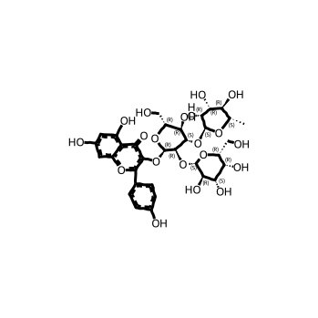 C[C@@H]1O[C@@H](O[C@H]2[C@H](O)[C@@H](CO)O[C@H](Oc3c(-c4ccc(O)cc4)oc4cc(O)cc(O)c4c3=O)[C@@H]2O[C@@H]2O[C@H](CO)[C@H](O)[C@H](O)[C@H]2O)[C@H](O)[C@H](O)[C@H]1O